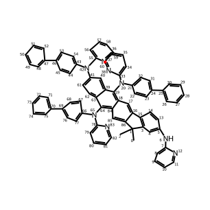 CC1(C)c2cc(Nc3ccccn3)ccc2-c2cc3c(N(c4ccc(-c5ccccc5)cc4)c4ccccn4)c4cc(N(c5ccc(-c6ccccc6)cc5)c5ccccn5)ccc4c(N(c4ccc(-c5ccccc5)cc4)c4ccccn4)c3cc21